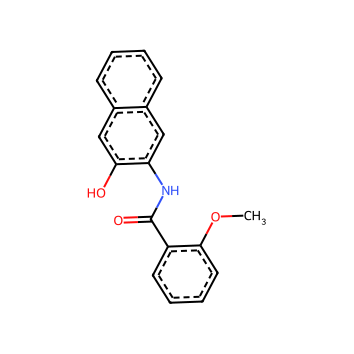 COc1ccccc1C(=O)Nc1cc2ccccc2cc1O